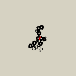 CC1(C)c2ccccc2-c2ccc(N(c3ccc(-c4ccc5c(c4)oc4ccc6ccccc6c45)cc3)c3ccccc3-c3cccc4ccccc34)cc21